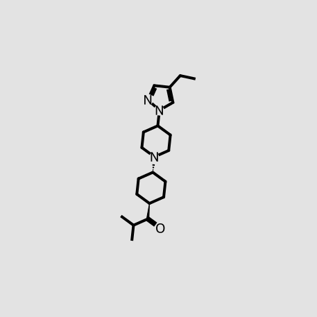 CCc1cnn(C2CCN([C@H]3CC[C@H](C(=O)C(C)C)CC3)CC2)c1